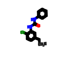 O=C(O)Cc1ccc(Cl)c(NC(=O)Nc2ccccc2)c1